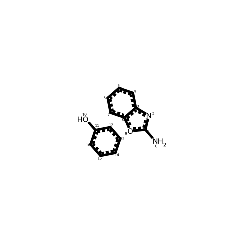 Nc1nc2ccccc2o1.Oc1ccccc1